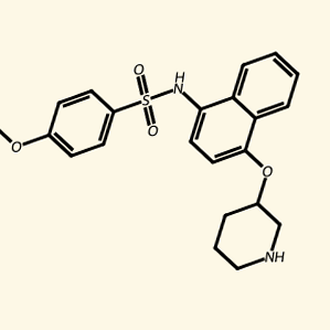 COc1ccc(S(=O)(=O)Nc2ccc(OC3CCCNC3)c3ccccc23)cc1